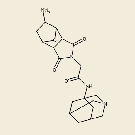 NC1CC2OC1C1C(=O)N(CC(=O)NC34CC5CC(CN(C5)C3)C4)C(=O)C21